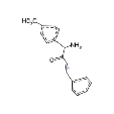 NC(C(=O)/C=C/c1ccccc1)c1ccc(C(=O)O)cc1